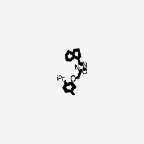 Cc1ccc(C(C)C)c(OCc2nc(-c3cccc4ccccc34)no2)c1